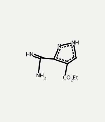 CCOC(=O)c1c[nH]nc1C(=N)N